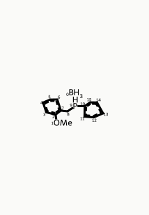 B.COc1ccccc1CPc1ccccc1